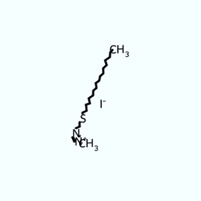 CCCCCCCCCCCCCCCCCCSCCCn1cc[n+](C)c1.[I-]